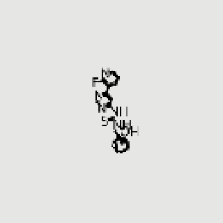 O[C@@]1(CNC(=S)Nc2cc(-c3cccnc3F)ncn2)CN2CCC1CC2